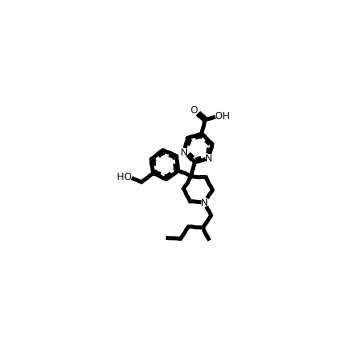 CCCC(C)CN1CCC(c2cccc(CO)c2)(c2ncc(C(=O)O)cn2)CC1